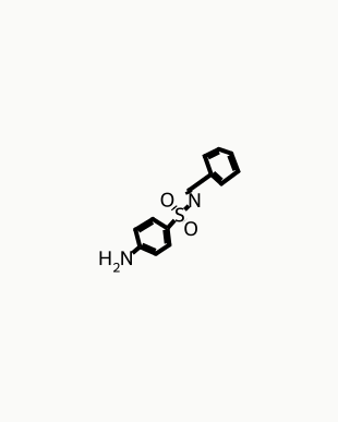 Nc1ccc(S(=O)(=O)/N=C/c2ccccc2)cc1